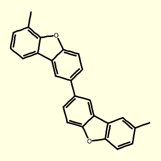 Cc1ccc2oc3ccc(-c4ccc5oc6c(C)cccc6c5c4)cc3c2c1